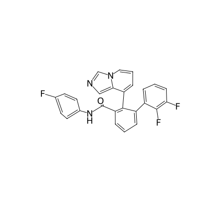 O=C(Nc1ccc(F)cc1)c1cccc(-c2cccc(F)c2F)c1-c1cccn2cncc12